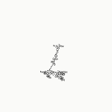 CC[N+]1=C(/C=C/C=C/C=C2/N(CCCCCC(=O)NCC(=O)Nc3ccc(COc4ccc5c(c4)CC(C(=O)O)N5C)cc3)c3ccc4c(S(=O)(=O)O)cc(S(=O)(=O)O)cc4c3C2(C)C)C(C)(C)c2c1ccc1c(S(=O)(=O)O)cc(S(=O)(=O)O)cc21